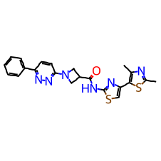 Cc1nc(C)c(-c2csc(NC(=O)C3CN(c4ccc(-c5ccccc5)nn4)C3)n2)s1